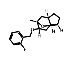 C[C@@]12C[C@@H]3CC[C@H](O1)[C@H]3C[C@@H]2OCc1ccccc1F